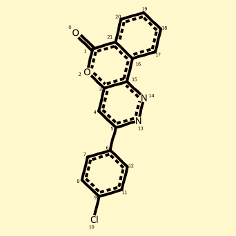 O=c1oc2cc(-c3ccc(Cl)cc3)nnc2c2ccccc12